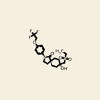 CCS(=O)(=O)C[C@]1(O)CC[C@]2(CCN(c3ccc(OCC(F)(F)F)cc3)C2=O)CC1